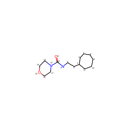 O=C([N]CCC1CCCCCC1)N1CCOCC1